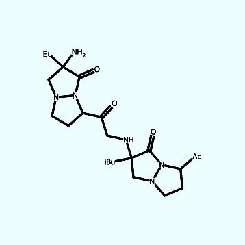 CCC(C)C1(NCC(=O)C2CCN3CC(N)(CC)C(=O)N23)CN2CCC(C(C)=O)N2C1=O